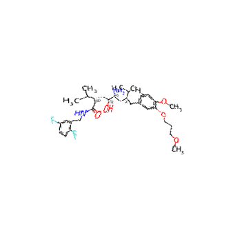 COCCCOc1cc(C[C@@H](C[C@H](N)[C@@H](O)C[C@H](C(=O)NCc2cc(F)ccc2F)C(C)C)C(C)C)ccc1OC